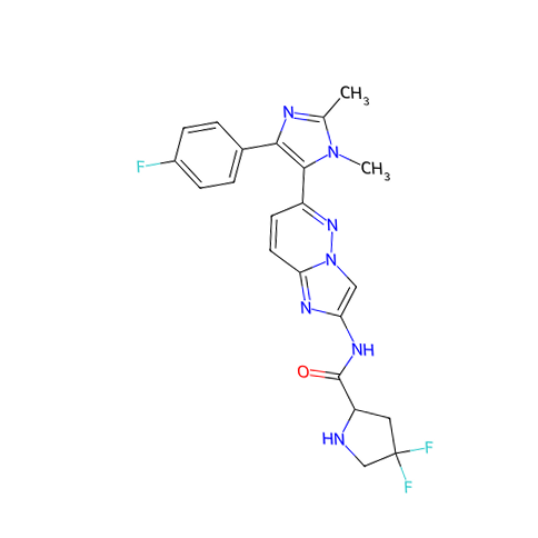 Cc1nc(-c2ccc(F)cc2)c(-c2ccc3nc(NC(=O)C4CC(F)(F)CN4)cn3n2)n1C